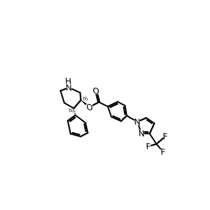 O=C(O[C@@H]1CNCC[C@H]1c1ccccc1)c1ccc(-n2ccc(C(F)(F)F)n2)cc1